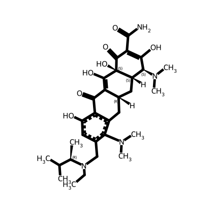 CCN(Cc1cc(O)c2c(c1N(C)C)C[C@H]1C[C@H]3[C@H](N(C)C)C(O)=C(C(N)=O)C(=O)[C@@]3(O)C(O)=C1C2=O)[C@H](C)C(C)C